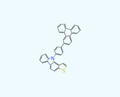 c1ccc2c(c1)c1ccccc1c1cc(-c3ccc(-n4c5ccccc5c5ccc6sccc6c54)cc3)ccc21